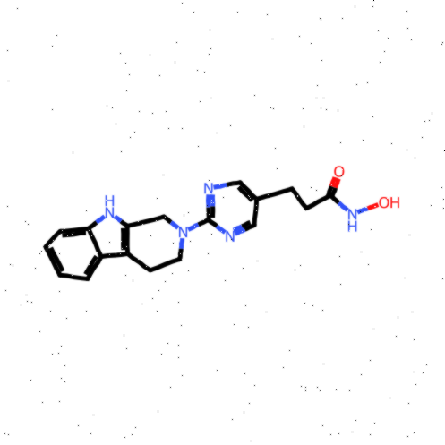 O=C(CCc1cnc(N2CCc3c([nH]c4ccccc34)C2)nc1)NO